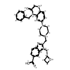 O=C(O)c1ccc2nc(CN3CCN(c4ccc5c(n4)N(Cc4ccccc4)C(=O)CO5)CC3)n(C[C@@H]3CCO3)c2c1